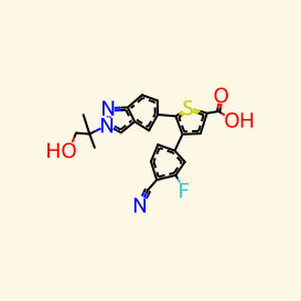 CC(C)(CO)n1cc2cc(-c3sc(C(=O)O)cc3-c3ccc(C#N)c(F)c3)ccc2n1